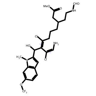 COC(=O)CC(CCC/C(Cl)=C(\C(Cl)=C/N)C(O)c1cc2ccc(OC(F)(F)F)cc2n1C)CCNC=O